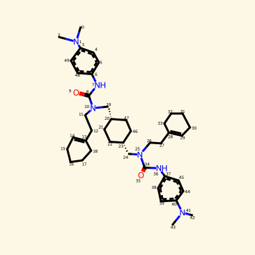 CN(C)c1ccc(NC(=O)N(CCC2=CCCCC2)C[C@H]2CC[C@@H](CN(CCC3=CCCCC3)C(=O)Nc3ccc(N(C)C)cc3)CC2)cc1